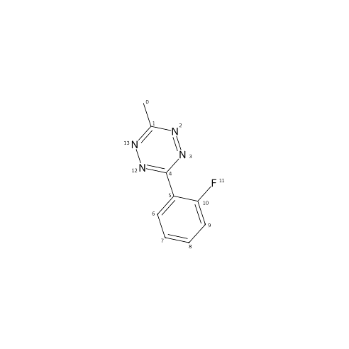 Cc1nnc(-c2ccccc2F)nn1